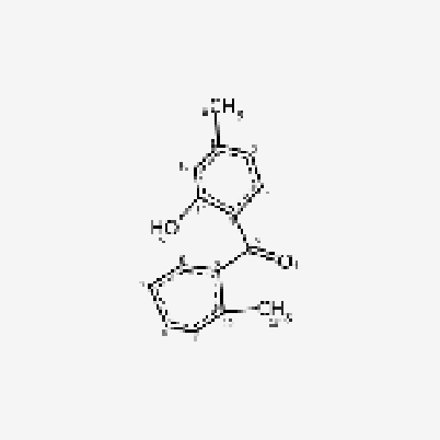 Cc1ccc(C(=O)c2ccccc2C)c(O)c1